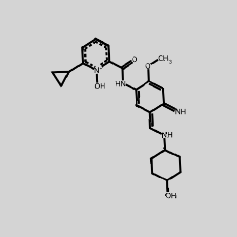 COC1=CC(=N)/C(=C\NC2CCC(O)CC2)C=C1NC(=O)c1cccc(C2CC2)[n+]1O